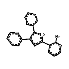 Brc1ccccc1-c1cc(-c2ccccc2)c(-c2ccccc2)o1